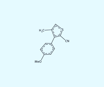 COc1ccc(-c2c(C)csc2C#N)cc1